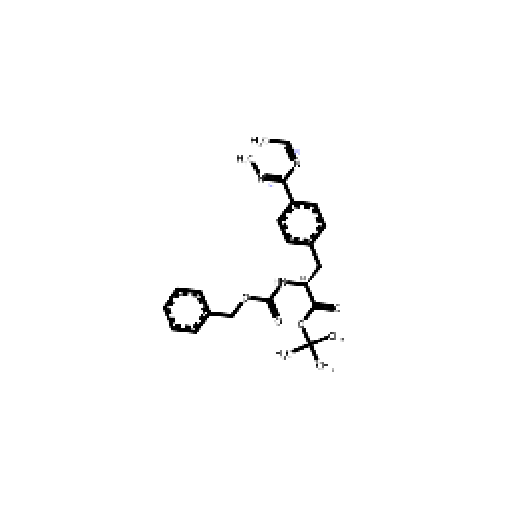 C/C=N\C(=N/C)c1ccc(C[C@H](NC(=O)OCc2ccccc2)C(=O)OC(C)(C)C)cc1